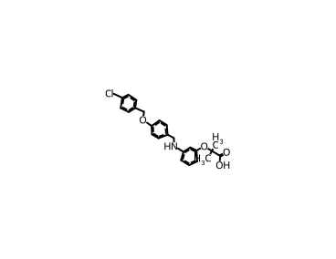 CC(C)(Oc1cccc(NCc2ccc(OCc3ccc(Cl)cc3)cc2)c1)C(=O)O